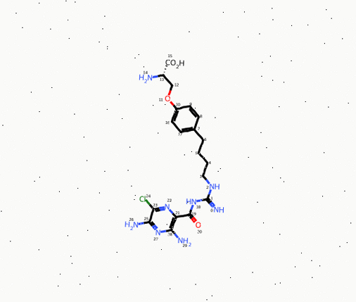 N=C(NCCCCc1ccc(OC[C@H](N)C(=O)O)cc1)NC(=O)c1nc(Cl)c(N)nc1N